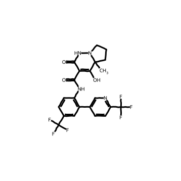 CC12CCCN1NC(=O)C(C(=O)Nc1ccc(C(F)(F)F)cc1-c1ccc(C(F)(F)F)nc1)=C2O